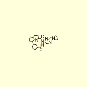 O=C(Nc1ccnc(CN2CCCC2)n1)c1ccc2cccc(-c3cccc(C(F)F)c3)c2n1